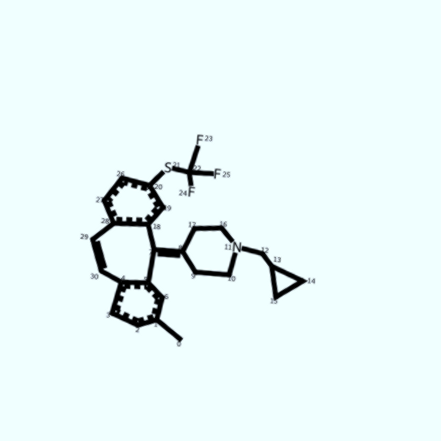 Cc1ccc2c(c1)C(=C1CCN(CC3CC3)CC1)c1cc(SC(F)(F)F)ccc1C=C2